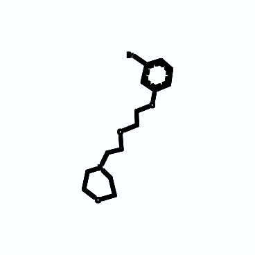 Brc1cccc(OCCOCCN2CCOCC2)c1